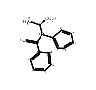 C[C@@H](C(=O)O)N(C(=O)c1ccccc1)c1ccccc1